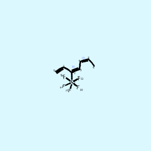 C=C/C(=C\C=C/C)S(F)(F)(F)(F)F